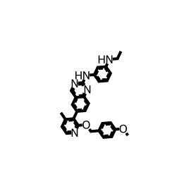 CCNc1cccc(Nc2ncc3cc(-c4c(C)ccnc4OCc4ccc(OC)cc4)ccc3n2)c1